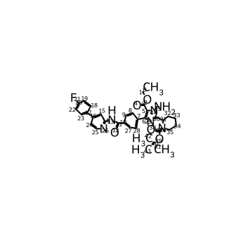 CCOC(=O)c1c(-c2ccc(C(=O)Nc3cc(-c4ccc(F)cc4)ccn3)cc2)nc(C2CCCCN2C(=O)OC(C)(C)C)n1N